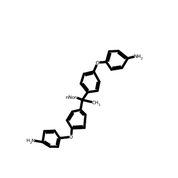 CCCCCCCCCC(C)(c1ccc(Oc2ccc(N)cc2)cc1)c1ccc(Oc2ccc(N)cc2)cc1